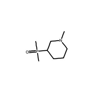 CN1CCCC(P(C)(C)=O)C1